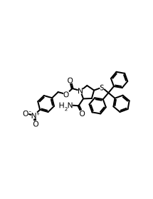 NC(=O)C1CC(SC(c2ccccc2)(c2ccccc2)c2ccccc2)CN1C(=O)OCc1ccc([N+](=O)[O-])cc1